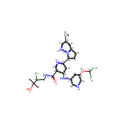 CC(C)(O)C(F)CNC(=O)c1cnc(-c2ccc3cc(C#N)cnn23)cc1Nc1cncc(OC(F)F)c1